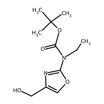 CCN(C(=O)OC(C)(C)C)c1nc(CO)co1